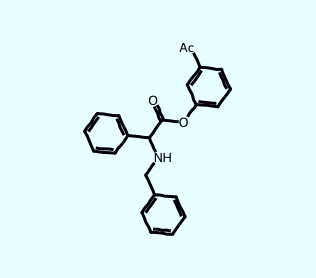 [CH2]C(=O)c1cccc(OC(=O)C(NCc2ccccc2)c2ccccc2)c1